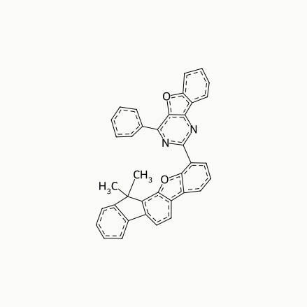 CC1(C)c2ccccc2-c2ccc3c(oc4c(-c5nc(-c6ccccc6)c6oc7ccccc7c6n5)cccc43)c21